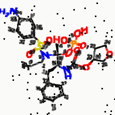 CC(C)CN([C@](C)(OP(=O)(O)O)[C@H](Cc1ccccc1)NC(=O)O[C@H]1CCOC1)S(=O)(=O)c1ccc(N)cc1